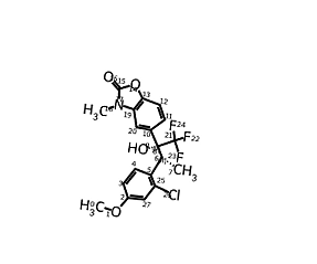 COc1ccc([C@@H](C)[C@@](O)(c2ccc3oc(=O)n(C)c3c2)C(F)(F)F)c(Cl)c1